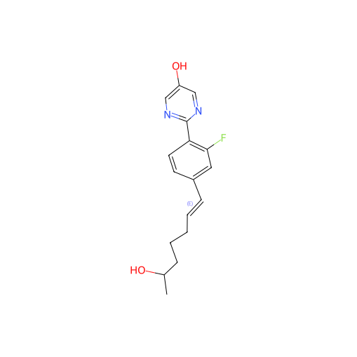 CC(O)CCC/C=C/c1ccc(-c2ncc(O)cn2)c(F)c1